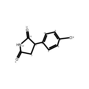 O=C1CC(c2ccc(Cl)cc2)C(=O)N1